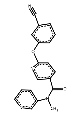 CN(C(=O)c1ccc(Oc2cccc(C#N)c2)nc1)c1cccnc1